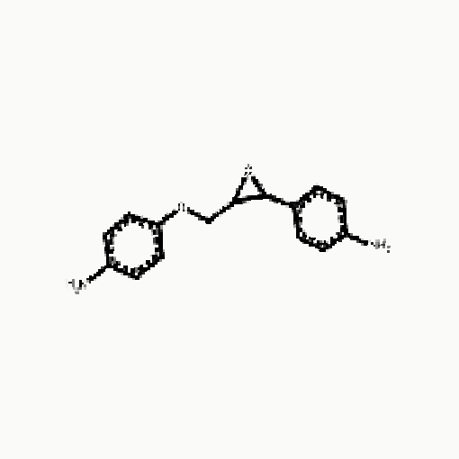 Nc1ccc(OCC2OC2c2ccc(N)cc2)cc1